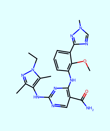 CCn1nc(C)c(Nc2ncc(C(N)=O)c(Nc3cccc(-c4ncn(C)n4)c3OC)n2)c1C